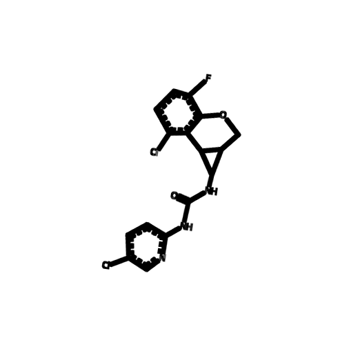 O=C(Nc1ccc(Cl)cn1)NC1C2COc3c(F)ccc(Cl)c3C21